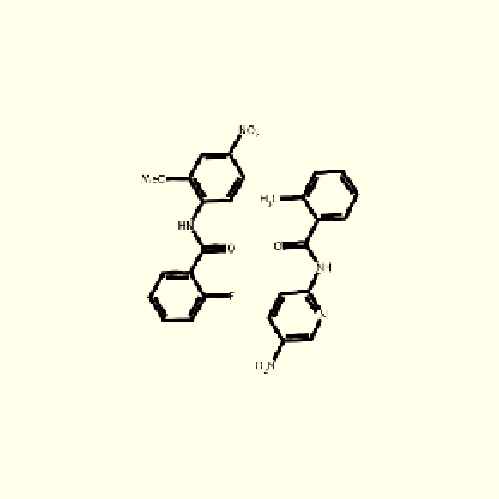 COc1cc([N+](=O)[O-])ccc1NC(=O)c1ccccc1F.Cc1ccccc1C(=O)Nc1ccc([N+](=O)[O-])cn1